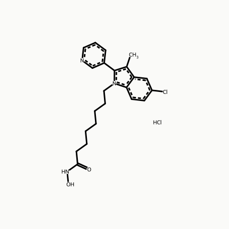 Cc1c(-c2cccnc2)n(CCCCCCCC(=O)NO)c2ccc(Cl)cc12.Cl